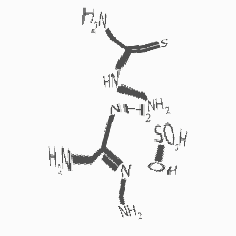 NN=C(N)N.NNC(N)=S.O=S(=O)(O)O